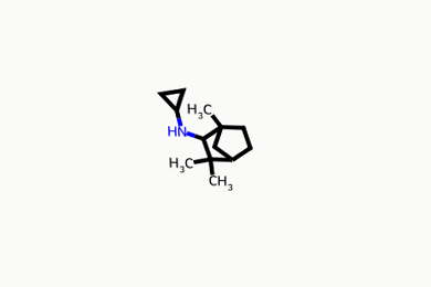 CC12CCC(C1)C(C)(C)C2NC1CC1